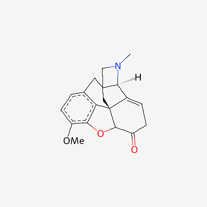 COc1ccc2c3c1OC1C(=O)CC=C4[C@@H]5N(C)CC5(C2)C[C@]431